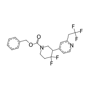 O=C(OCc1ccccc1)N1CCC(F)(F)C(c2ccnc(CC(F)(F)F)c2)C1